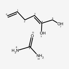 C=CCC=C(O)CO.NC(N)=O